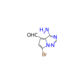 Nc1ncnn2c(Br)cc(C=O)c12